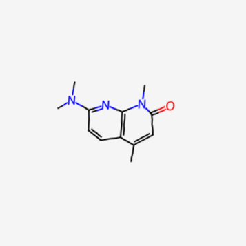 Cc1cc(=O)n(C)c2nc(N(C)C)ccc12